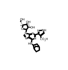 O=C(O)c1c[nH]nc1-c1nc(NC2CC3CCC2C3)c2ncn(C3O[C@H](CO)[C@@H](O)[C@H]3O)c2n1